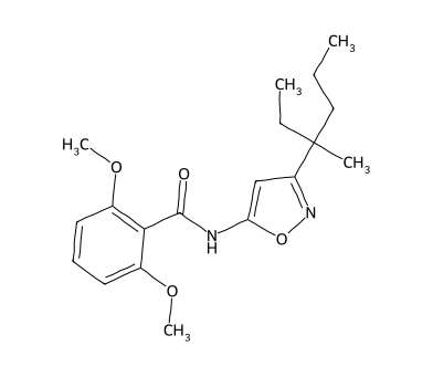 CCCC(C)(CC)c1cc(NC(=O)c2c(OC)cccc2OC)on1